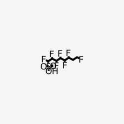 O=S(=O)(O)C(F)C(F)C(F)C(F)C(F)C(F)CCF